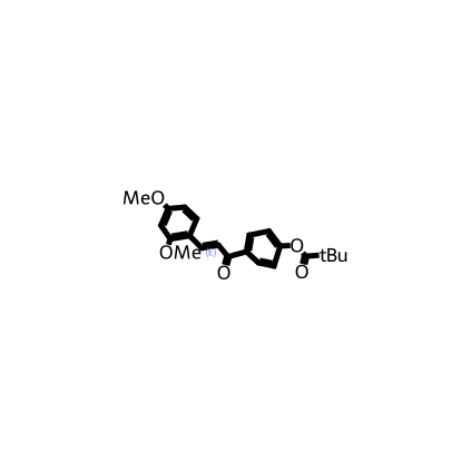 COc1ccc(/C=C/C(=O)c2ccc(OC(=O)C(C)(C)C)cc2)c(OC)c1